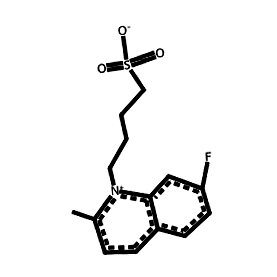 Cc1ccc2ccc(F)cc2[n+]1CCCCS(=O)(=O)[O-]